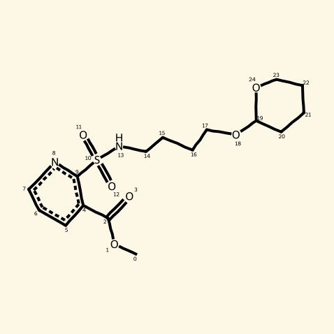 COC(=O)c1cccnc1S(=O)(=O)NCCCCOC1CCCCO1